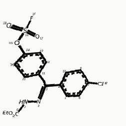 CCOC(=O)NN=C(c1ccc(Cl)cc1)c1ccc(OS(=O)(=O)F)cc1